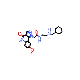 COc1ccc2c(c1)c1c(cnn1CC(=O)NCCNCC1CCCCC1)c(=O)n2C